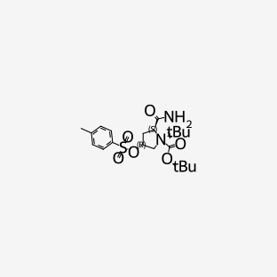 Cc1ccc(S(=O)(=O)O[C@@H]2C[C@@H](C(N)=O)[N+](C(=O)OC(C)(C)C)(C(C)(C)C)C2)cc1